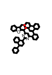 c1ccc(-c2ccc(-c3nc(-c4ccccc4-c4cc5ccccc5c5ccccc45)cc(-c4cccc5c4oc4ccccc45)n3)c3ccccc23)cc1